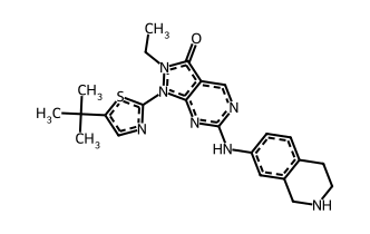 CCn1c(=O)c2cnc(Nc3ccc4c(c3)CNCC4)nc2n1-c1ncc(C(C)(C)C)s1